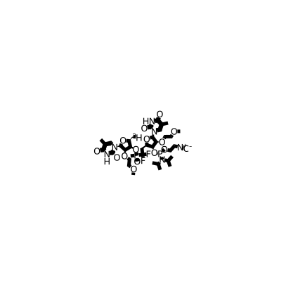 [2H]C[C@H]1O[C@@H](n2cc(C)c(=O)[nH]c2=O)[C@H](OCCOC)[C@@H]1OP(C)(=O)C(F)(F)C[C@H]1O[C@@H](n2cc(C)c(=O)[nH]c2=O)[C@H](OCCOC)[C@@H]1OP(OCC[N+]#[C-])N(C(C)C)C(C)C